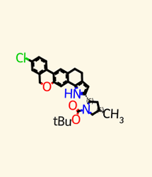 C[C@H]1C[C@@H](c2cc3c([nH]2)-c2cc4c(cc2CC3)-c2ccc(Cl)cc2CO4)N(C(=O)OC(C)(C)C)C1